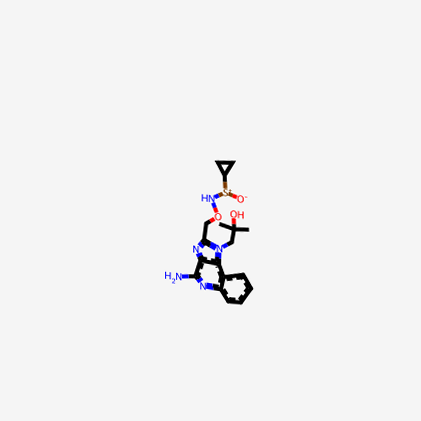 CC(C)(O)Cn1c(CON[S+]([O-])C2CC2)nc2c(N)nc3ccccc3c21